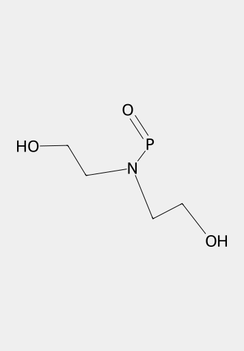 O=PN(CCO)CCO